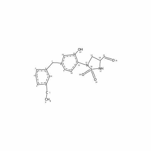 CCc1cccc(Cc2ccc(N3CC(C=O)NS3(=O)=O)c(O)c2)c1